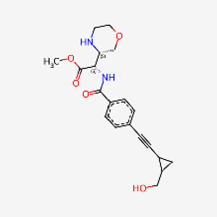 COC(=O)[C@@H](NC(=O)c1ccc(C#CC2CC2CO)cc1)[C@H]1COCCN1